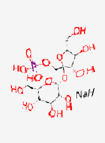 O=P(O)(O)OC[C@@]1(O[C@H]2O[C@H](CO)[C@@H](O)[C@H](O)[C@H]2O)O[C@H](CO)[C@@H](O)[C@@H]1O.[NaH]